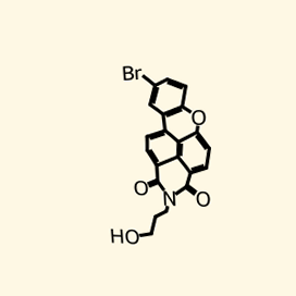 O=c1c2ccc3oc4ccc(Br)cc4c4ccc(c(=O)n1CCCO)c2c34